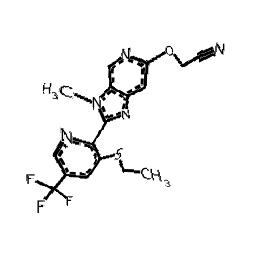 CCSc1cc(C(F)(F)F)cnc1-c1nc2cc(OCC#N)ncc2n1C